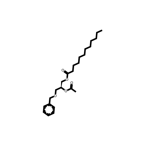 CCCCCCCCCCCC(=O)OC[C@H](COCc1ccccc1)OC(C)=O